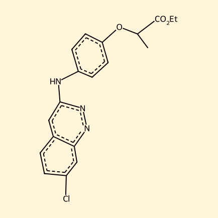 CCOC(=O)C(C)Oc1ccc(Nc2cc3ccc(Cl)cc3nn2)cc1